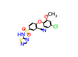 COc1cc(Cl)ccc1Oc1ccc(S(=O)(=O)Nc2ncns2)cc1C#N